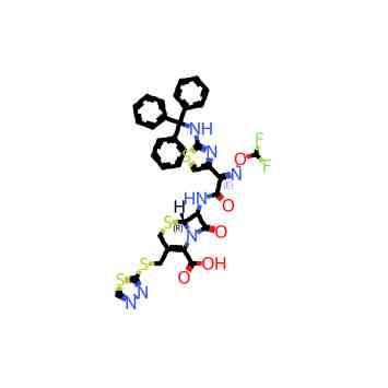 O=C(O)C1=C(CSc2nncs2)CS[C@@H]2C(NC(=O)/C(=N/OC(F)F)c3csc(NC(c4ccccc4)(c4ccccc4)c4ccccc4)n3)C(=O)N12